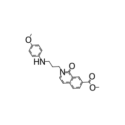 COC(=O)c1ccc2ccn(CCCNc3ccc(OC)cc3)c(=O)c2c1